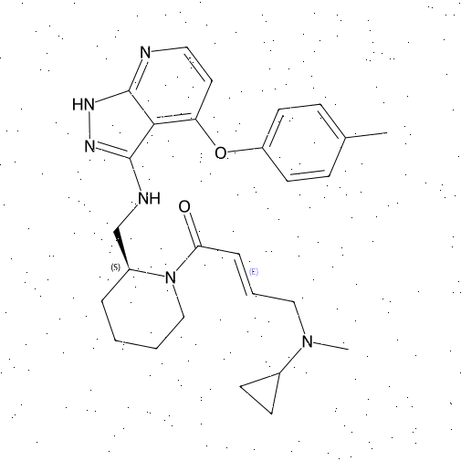 Cc1ccc(Oc2ccnc3[nH]nc(NC[C@@H]4CCCCN4C(=O)/C=C/CN(C)C4CC4)c23)cc1